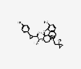 CN(C(=O)C1CC1c1ccc(O)cc1)[C@@H]1CC[C@@]2(O)C3Cc4ccc(O)c5c4C2(CCN3CC2(O)CC2)[C@H]1O5